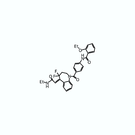 CCNC(=O)/C=C1/c2ccccc2N(C(=O)c2ccc(NC(=O)c3ccccc3OCC)cc2)CCC1(F)F